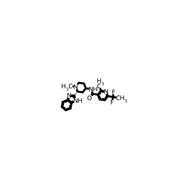 Cc1nc(C(C)(F)F)ccc1C(=O)NC1CCN(C)[C@@H](c2nc3ccccc3[nH]2)C1